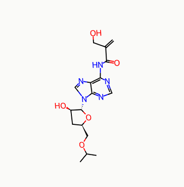 C=C(CO)C(=O)Nc1ncnc2c1ncn2[C@@H]1O[C@@H](COC(C)C)C[C@H]1O